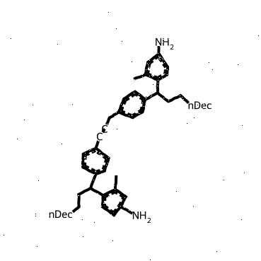 CCCCCCCCCCCCC(c1ccc(CCCc2ccc(C(CCCCCCCCCCCC)c3ccc(N)cc3C)cc2)cc1)c1ccc(N)cc1C